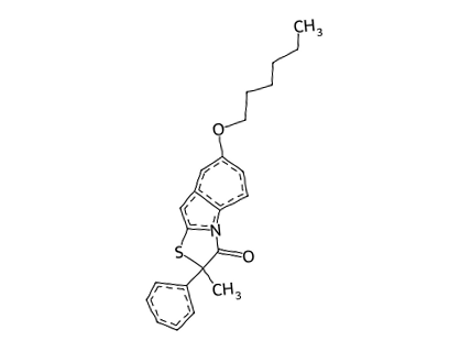 CCCCCCOc1ccc2c(c1)cc1n2C(=O)C(C)(c2ccccc2)S1